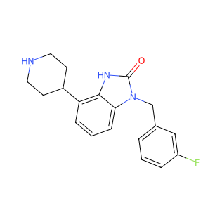 O=c1[nH]c2c(C3CCNCC3)cccc2n1Cc1cccc(F)c1